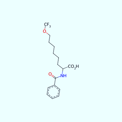 O=C(NC(CCCCCCOC(F)(F)F)C(=O)O)c1ccccc1